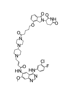 COc1cc2ncnc(Nc3ccc(F)c(Cl)c3)c2cc1NC(=O)/C=C/CN1CCC(N2CCN(C(=O)CCCCOc3cccc4c3CN(C3CCC(=O)NC3=O)C4=O)CC2)CC1